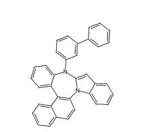 c1ccc(-c2cccc(N3c4ccccc4-c4c(ccc5ccccc45)-n4c3cc3ccccc34)c2)cc1